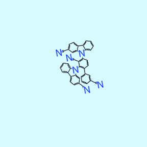 N#Cc1cccc(-c2ccc(-n3c4ccccc4c4ccc(C#N)cc43)c(C#N)c2-n2c3ccccc3c3ccc(C#N)cc32)c1